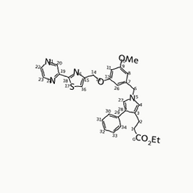 CCOC(=O)CCc1cn(Cc2cc(OC)cc(OCc3csc(-c4cnccn4)n3)c2)cc1-c1ccccc1